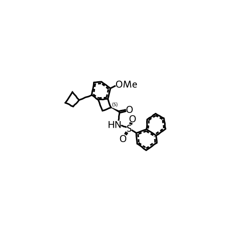 COc1ccc(C2CCC2)c2c1[C@@H](C(=O)NS(=O)(=O)c1cccc3ccccc13)C2